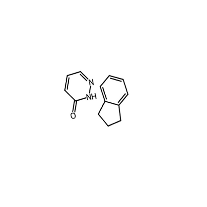 O=c1cccn[nH]1.c1ccc2c(c1)CCC2